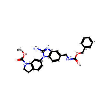 CC(C)(C)OC(=O)N1CCc2ccc(-n3c(N)nc4cc(CNC(=O)OCc5ccccc5)ccc43)cc21